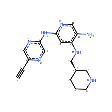 C#Cc1cnc(Nc2cc(NC[C@@H]3CCCNC3)c(N)cn2)cn1